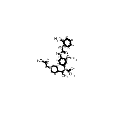 COc1cc(N(C(C)=O)C(C)C2CCN(CC(=O)O)CC2)ccc1NC(=O)Nc1ccccc1C